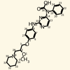 COC(COc1ccc(Nc2nccc(N(C(=O)O)c3ccccc3)n2)cc1)CN1CCCCC1